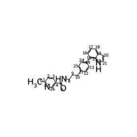 Cc1ccc(C(=O)NCCCc2ccc(-c3cccc4cc[nH]c34)cc2)cn1